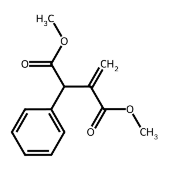 C=C(C(=O)OC)C(C(=O)OC)c1ccccc1